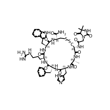 C[C@H]1NC(=O)[C@@H](NC(=O)CN2C(=O)NC(C)(C)C2=O)CSSC[C@@H](C(N)=O)NC(=O)[C@H](Cc2c[nH]c3ccccc23)NC(=O)[C@H](CCCNC(=N)N)NC(=O)[C@@H](Cc2ccccc2)NC(=O)[C@H](Cc2cnc[nH]2)NC1=O